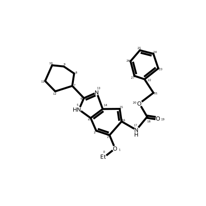 CCOc1cc2[nH]c(C3CCCCC3)nc2cc1NC(=O)OCc1ccccc1